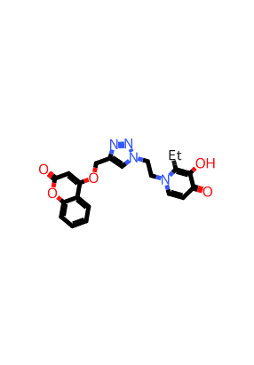 CCc1c(O)c(=O)ccn1CCn1cc(COc2cc(=O)oc3ccccc23)nn1